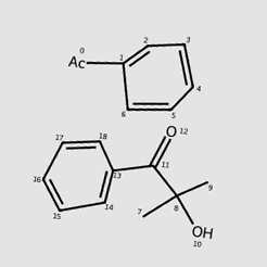 CC(=O)c1ccccc1.CC(C)(O)C(=O)c1ccccc1